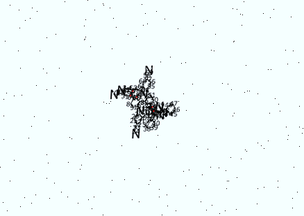 N#Cc1cccc(-c2ccc(-n3c4ccc(C#N)cc4c4cc(C#N)ccc43)c(-c3cc(-c4nc(-c5ccccc5)nc(-c5ccccc5)n4)ccc3-n3c4ccc(C#N)cc4c4cc(C#N)ccc43)c2)c1